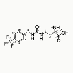 N[C@@H](CCNC(=O)NCc1ccc(C(F)(F)F)cc1)C(=O)O